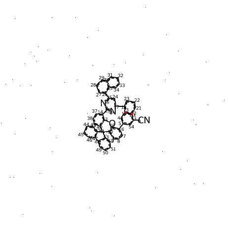 N#Cc1cccc(-c2cccc3c2Oc2c(-c4nc(-c5ccccc5)cc(-c5cccc6ccccc56)n4)cccc2C32c3ccccc3-c3ccccc32)c1